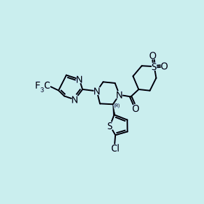 O=C(C1CCS(=O)(=O)CC1)N1CCN(c2ncc(C(F)(F)F)cn2)C[C@@H]1c1ccc(Cl)s1